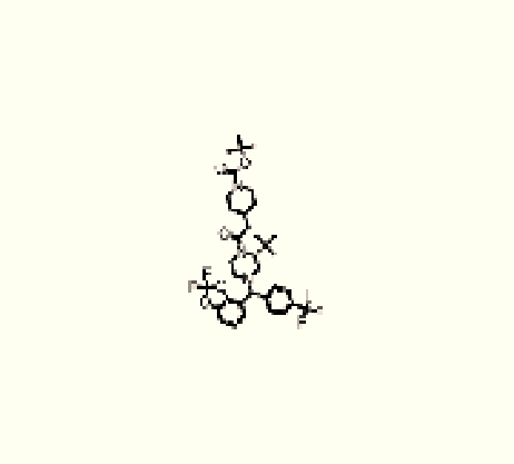 CC(C)(C)OC(=O)N1CCC(CC(=O)N2CCN(C(c3ccc(C(F)(F)F)cc3)c3cccc4c3OC(F)(F)O4)C[C@@H]2C(C)(C)C)CC1